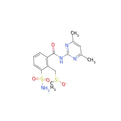 Cc1cc(C)nc(NC(=O)c2cccc(S(N)(=O)=O)c2C[S+](C)[O-])n1